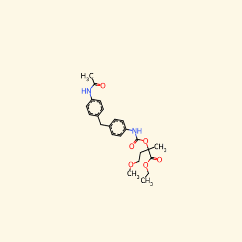 CCOC(=O)C(C)(CCOC)OC(=O)Nc1ccc(Cc2ccc(NC(C)=O)cc2)cc1